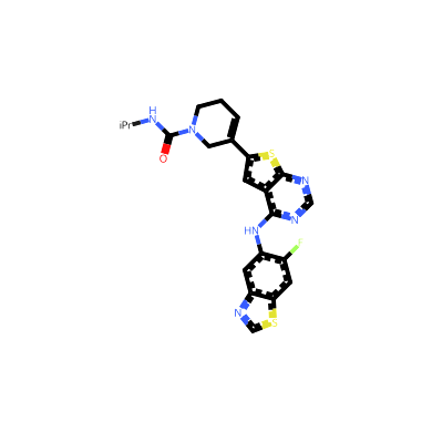 CC(C)NC(=O)N1CCC=C(c2cc3c(Nc4cc5ncsc5cc4F)ncnc3s2)C1